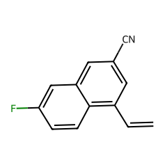 C=Cc1cc(C#N)cc2cc(F)ccc12